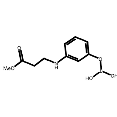 COC(=O)CCNc1cccc(OB(O)O)c1